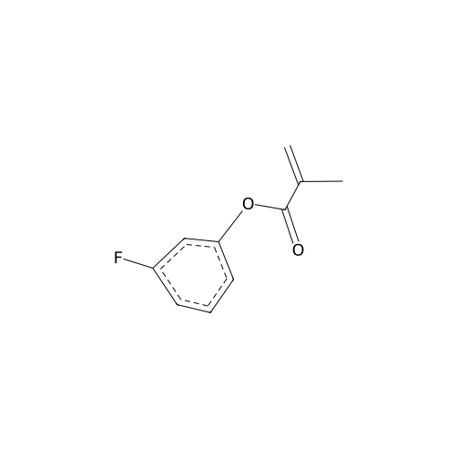 C=C(C)C(=O)Oc1cccc(F)c1